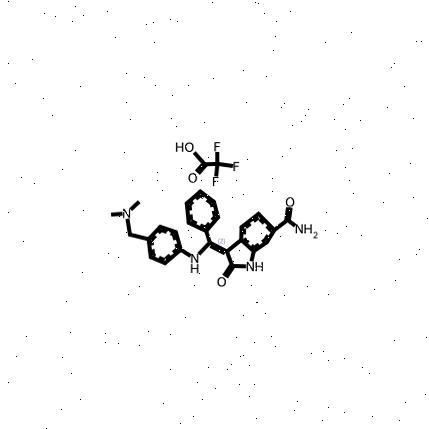 CN(C)Cc1ccc(N/C(=C2\C(=O)Nc3cc(C(N)=O)ccc32)c2ccccc2)cc1.O=C(O)C(F)(F)F